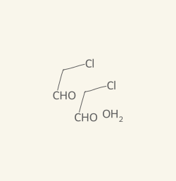 O.O=CCCl.O=CCCl